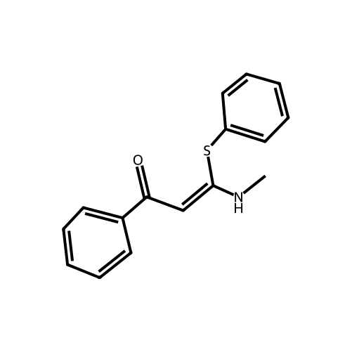 CNC(=CC(=O)c1ccccc1)Sc1ccccc1